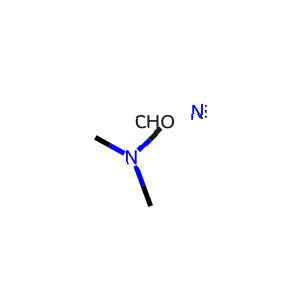 CN(C)C=O.[N]